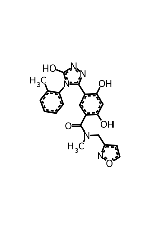 Cc1ccccc1-n1c(O)nnc1-c1cc(C(=O)N(C)Cc2ccon2)c(O)cc1O